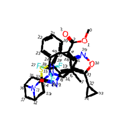 COC(=O)c1cc(C)c2nc(N3C4CC(NCc5c(-c6ccccc6C(F)(F)F)noc5C5CC5)CC3C4)sc2c1